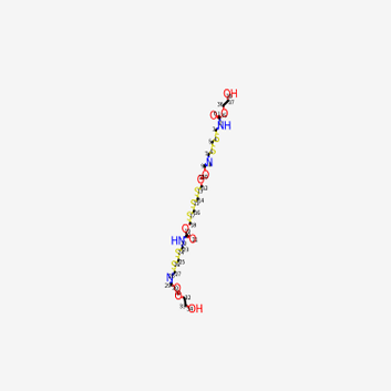 O=C(NCSCSC/N=C/OOCSCSCSCOC(=O)NCSCSC/N=C\OOCCO)OCCO